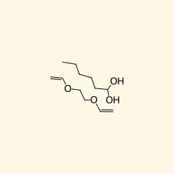 C=COCCOC=C.CCCCCC(O)O